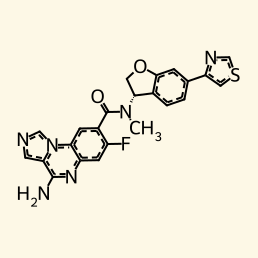 CN(C(=O)c1cc2c(cc1F)nc(N)c1cncn12)[C@@H]1COc2cc(-c3cscn3)ccc21